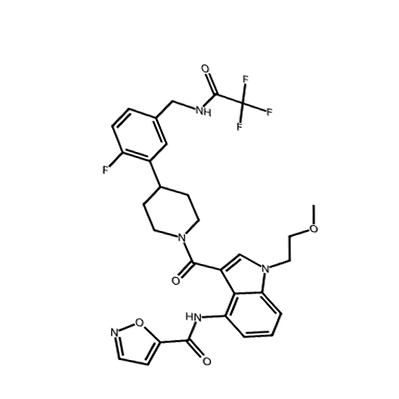 COCCn1cc(C(=O)N2CCC(c3cc(CNC(=O)C(F)(F)F)ccc3F)CC2)c2c(NC(=O)c3ccno3)cccc21